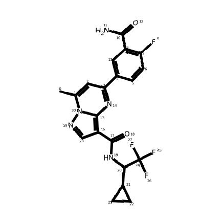 Cc1cc(-c2ccc(F)c(C(N)=O)c2)nc2c(C(=O)NC(C3CC3)C(F)(F)F)cnn12